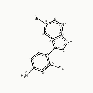 Nc1ccc(-c2c[nH]c3ncc(Br)cc23)c(F)c1